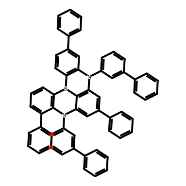 c1ccc(-c2cccc(N3c4cc(-c5ccccc5)ccc4B4c5cccc(-c6ccccc6)c5N(c5cccc(-c6ccccc6)c5)c5cc(-c6ccccc6)cc3c54)c2)cc1